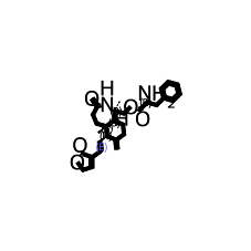 C=C1CC[C@H]2[C@@](C)(CCC(=O)N[C@@]2(C)COC(=O)[C@H](N)Cc2ccccc2)[C@@H]1/C=C/C1=CCOC1=O